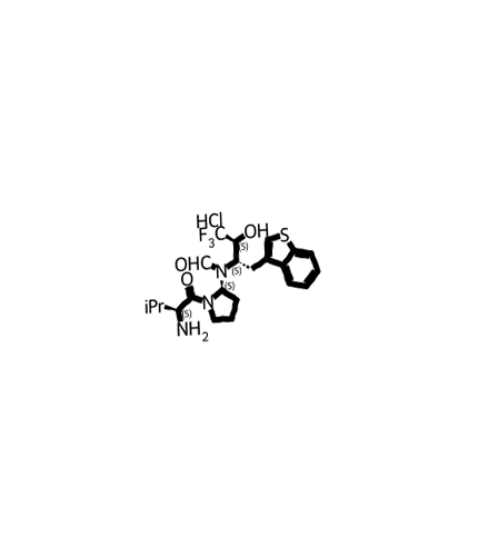 CC(C)[C@H](N)C(=O)N1CCC[C@H]1N(C=O)[C@@H](Cc1csc2ccccc12)[C@H](O)C(F)(F)F.Cl